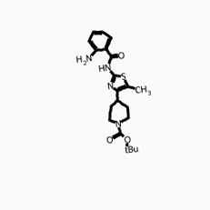 Cc1sc(NC(=O)c2ccccc2N)nc1C1CCN(C(=O)OC(C)(C)C)CC1